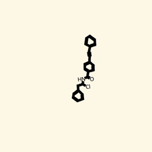 O=C(NC(Cl)Cc1ccccc1)c1ccc(C#Cc2ccccc2)cc1